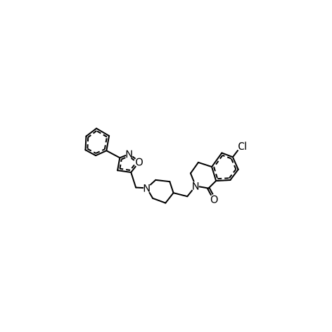 O=C1c2ccc(Cl)cc2CCN1CC1CCN(Cc2cc(-c3ccccc3)no2)CC1